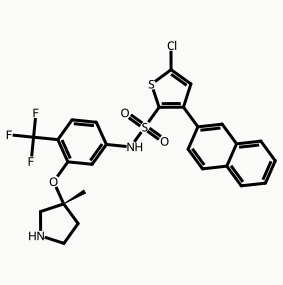 C[C@@]1(Oc2cc(NS(=O)(=O)c3sc(Cl)cc3-c3ccc4ccccc4c3)ccc2C(F)(F)F)CCNC1